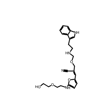 N#C/C(=C\c1ccc(NCCOCCO)o1)COCNCCc1c[nH]c2ccccc12